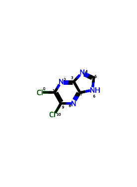 Clc1nc2nc[nH]c2nc1Cl